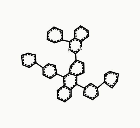 c1ccc(-c2ccc(-c3c4ccccc4c(-c4cccc(-c5ccccc5)c4)c4ccc(-c5nc(-c6ccccc6)c6ccccc6n5)cc34)cc2)cc1